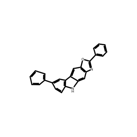 c1ccc(-c2ccc3[nH]c4cc5nc(-c6ccccc6)oc5cc4c3c2)cc1